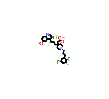 COc1ccc2ncc(Cl)c([C@H](F)CCC3(CC(=O)O)CCN(CCCc4cc(F)cc(F)c4F)CC3)c2c1